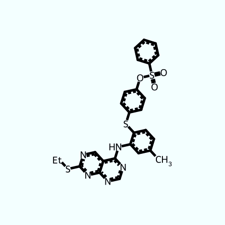 CCSc1ncc2c(Nc3cc(C)ccc3Sc3ccc(OS(=O)(=O)c4ccccc4)cc3)ncnc2n1